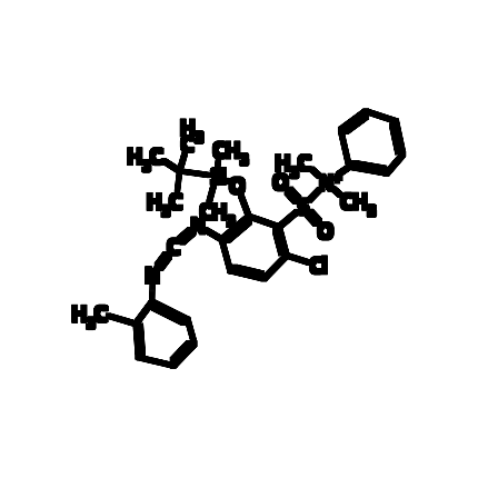 Cc1ccccc1N=C=Nc1ccc(Cl)c(S(=O)(=O)[N+](C)(C)c2ccccc2)c1O[Si](C)(C)C(C)(C)C